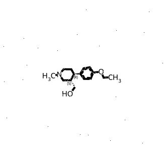 CCOc1ccc([C@@H]2CCN(C)C[C@H]2CO)cc1